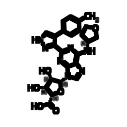 Cc1ccc(-c2c[nH]nc2-c2nc(N[C@@H]3CCOC3)c3ncn([C@@H]4O[C@H](C(=O)O)[C@H](O)[C@@H]4O)c3n2)cc1